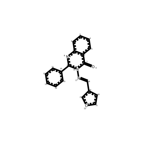 O=c1c2ccccc2nc(-c2ccccc2)n1/N=C/c1ccoc1